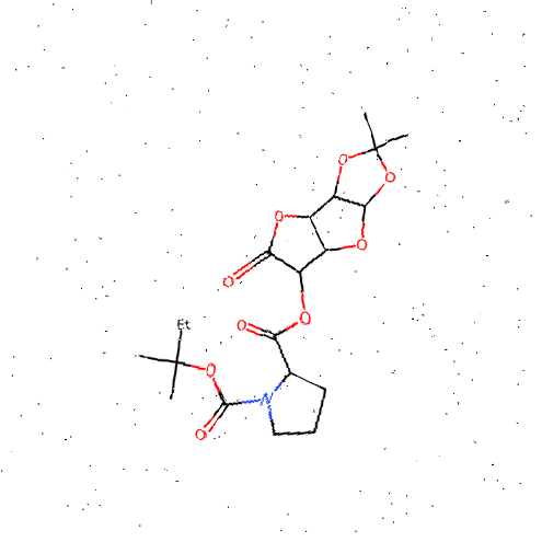 CCC(C)(C)OC(=O)N1CCCC1C(=O)OC1C(=O)OC2C3OC(C)(C)OC3OC12